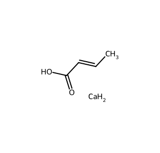 C/C=C/C(=O)O.[CaH2]